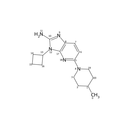 CC1CCN(c2ccc3nc(N)n(C4CCC4)c3n2)CC1